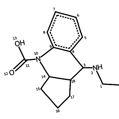 CCNC1c2ccccc2N(C(=O)O)C2CCCC12